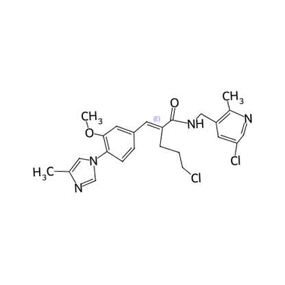 COc1cc(/C=C(\CCCCl)C(=O)NCc2cc(Cl)cnc2C)ccc1-n1cnc(C)c1